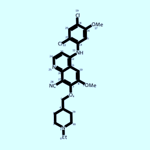 CCN1CCC(COc2c(OC)cc3c(Nc4cc(OC)c(Cl)cc4Cl)ccnc3c2C#N)CC1